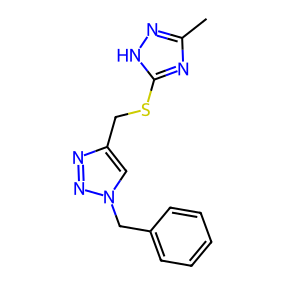 Cc1n[nH]c(SCc2cn(Cc3ccccc3)nn2)n1